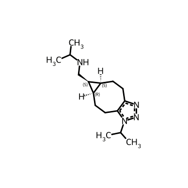 CC(C)NC[C@@H]1[C@@H]2CCc3c(nnn3C(C)C)CC[C@@H]21